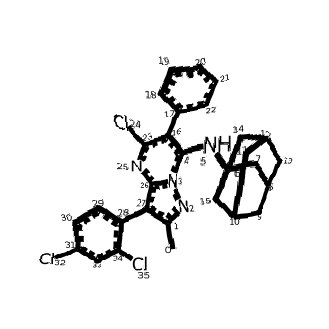 Cc1nn2c(NC34CC5CC(CC(C5)C3)C4)c(-c3ccccc3)c(Cl)nc2c1-c1ccc(Cl)cc1Cl